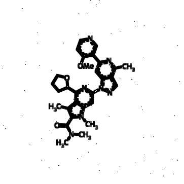 COc1ccncc1-c1cc2c(cnn2-c2cc3c(c(C4CCCO4)n2)c(C)c(C(=O)N(C)C)n3C)c(C)n1